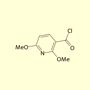 COc1ccc(C(=O)Cl)c(OC)n1